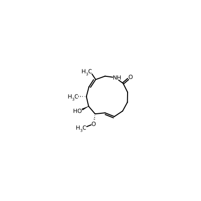 CO[C@H]1/C=C/CCCC(=O)NC/C(C)=C\[C@@H](C)[C@@H]1O